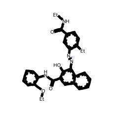 CCNC(=O)c1ccc(CC)c(/N=N/c2c(O)c(C(=O)Nc3ccccc3OCC)cc3ccccc23)c1